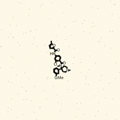 COc1cccc(C2(N(C)C(=O)c3ccc(NC(=O)c4ccc(C)o4)cc3Cl)CCN(C)CC2)c1